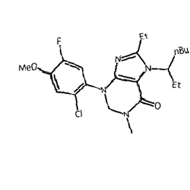 CCCCC(CC)n1c(CC)nc2c1C(=O)N(C)CN2c1cc(F)c(OC)cc1Cl